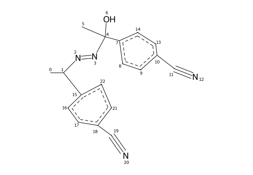 CC(N=NC(C)(O)c1ccc(C#N)cc1)c1ccc(C#N)cc1